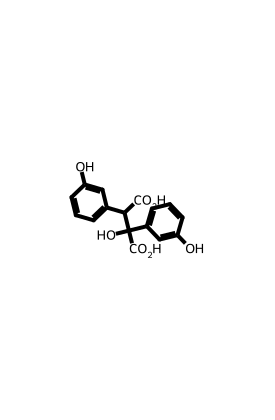 O=C(O)C(c1cccc(O)c1)C(O)(C(=O)O)c1cccc(O)c1